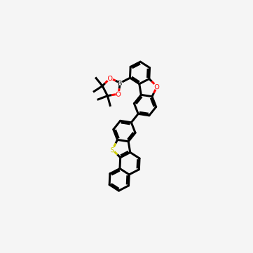 CC1(C)OB(c2cccc3oc4ccc(-c5ccc6sc7c8ccccc8ccc7c6c5)cc4c23)OC1(C)C